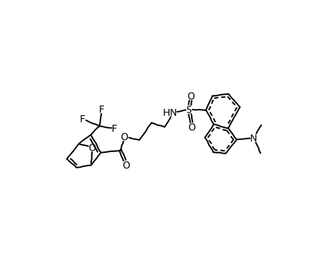 CN(C)c1cccc2c(S(=O)(=O)NCCCOC(=O)C3=C(C(F)(F)F)C4C=CC3O4)cccc12